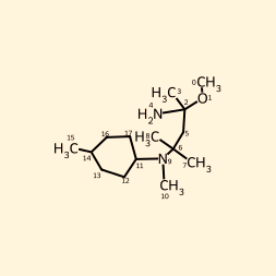 COC(C)(N)CC(C)(C)N(C)C1CCC(C)CC1